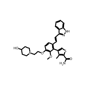 COc1c(OCCN2CCC(O)CC2)ccc(C=Cc2n[nH]c3ccccc23)c1-c1csc(C(N)=O)c1C